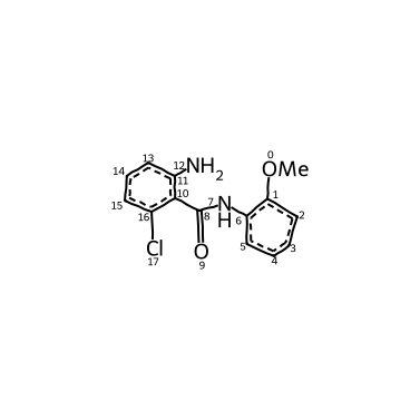 COc1ccccc1NC(=O)c1c(N)cccc1Cl